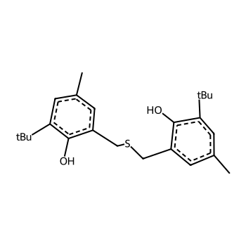 Cc1cc(CSCc2cc(C)cc(C(C)(C)C)c2O)c(O)c(C(C)(C)C)c1